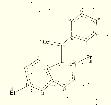 CCc1ccc2c(C(=O)c3ccccc3)c(CC)ccc2c1